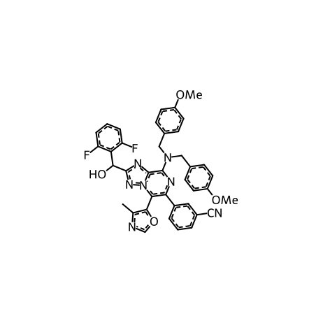 COc1ccc(CN(Cc2ccc(OC)cc2)c2nc(-c3cccc(C#N)c3)c(-c3ocnc3C)n3nc(C(O)c4c(F)cccc4F)nc23)cc1